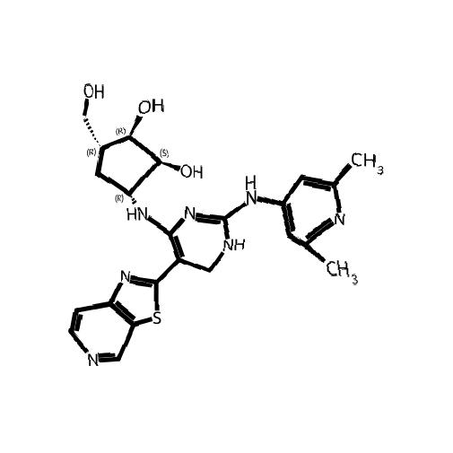 Cc1cc(NC2=NC(N[C@@H]3C[C@H](CO)[C@@H](O)[C@H]3O)=C(c3nc4ccncc4s3)CN2)cc(C)n1